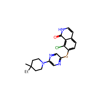 CCC1(C)CCN(c2cnc(Sc3ccc4cc[nH]c(=O)c4c3Cl)cn2)CC1